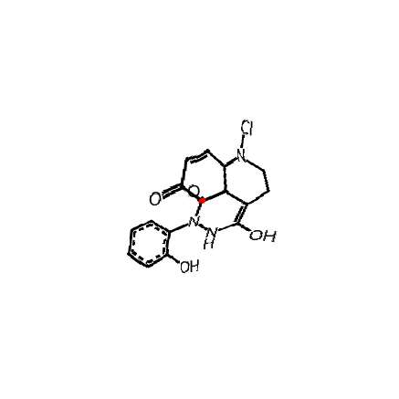 O=C1C=CC2N(Cl)CCC3=C(O)NN(c4ccccc4O)C(=O)C32C1